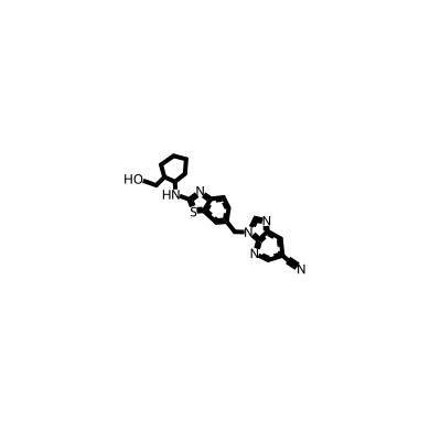 N#Cc1cnc2c(c1)ncn2Cc1ccc2nc(NC3CCCCC3CO)sc2c1